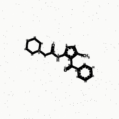 Cc1csc(NC(=O)CN2CCCCC2)c1C(=O)c1ccccc1